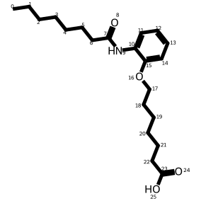 CCCCCCCC(=O)Nc1ccccc1OCCCCCCC(=O)O